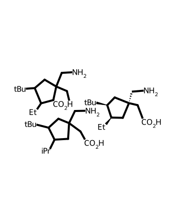 CC(C)C1CC(CN)(CC(=O)O)CC1C(C)(C)C.CCC1CC(CN)(CC(=O)O)CC1C(C)(C)C.CC[C@@H]1C[C@](CN)(CC(=O)O)C[C@@H]1C(C)(C)C